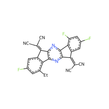 CCc1cc(F)cc2c1-c1nc3c(nc1C2=C(C#N)C#N)-c1c(F)cc(F)cc1C3=C(C#N)C#N